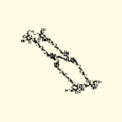 CC(=O)NC1C(OCCOCCOCCOCCn2cc(CN(CCCC[C@@H](C(=O)O)N(Cc3cn(CCOCCOCCOCCOC4OC(CO)C(O)C(O)C4NC(C)=O)nn3)Cc3cn(CCOCCOCCOCCOC4OC(CO)C(O)C(O)C4NC(C)=O)nn3)Cc3cn(CCOCCOCCOCCOC4OC(CO)C(O)C(O)C4NC(C)=O)nn3)nn2)OC(CO)C(O)C1O